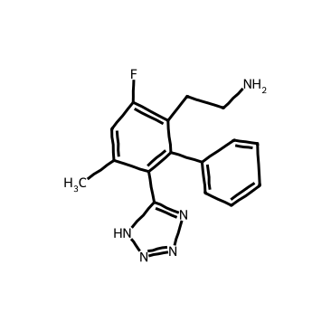 Cc1cc(F)c(CCN)c(-c2ccccc2)c1-c1nnn[nH]1